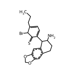 CCCC1=CC=C(C2c3cc4c(cc3CCC2N)OCO4)C(=S)C1Br